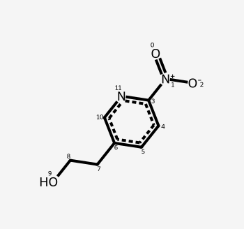 O=[N+]([O-])c1ccc(CCO)cn1